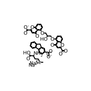 C[Se]CCC(N)C(=O)O.O=C([O-])c1cc(=O)c2c(OCC(O)COc3cccc4oc(C(=O)[O-])cc(=O)c34)cccc2o1.O=[N+]([O-])c1ccc2c(c1)Cc1ccccc1-2.[Na+].[Na+]